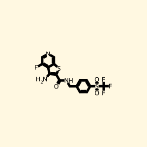 Nc1c(C(=O)NCc2ccc(S(=O)(=O)C(F)(F)F)cc2)sc2cncc(F)c12